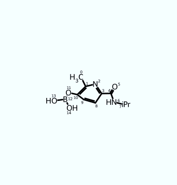 Cc1nc(C(=O)NC(C)C)ccc1OB(O)O